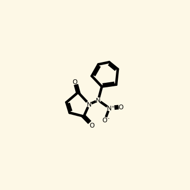 O=C1C=CC(=O)N1N(c1ccccc1)[N+](=O)[O-]